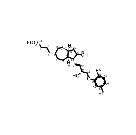 CCOC(=O)CCC[C@H]1CC[C@@H]2[C@@H](/C=C/[C@@H](O)COc3cc(F)ccc3F)[C@H](O)C[C@@H]2OC1